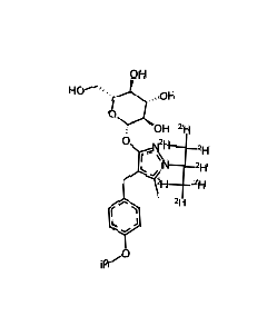 [2H]C([2H])([2H])C([2H])(n1nc(O[C@@H]2O[C@H](CO)[C@@H](O)[C@H](O)[C@H]2O)c(Cc2ccc(OC(C)C)cc2)c1C)C([2H])([2H])[2H]